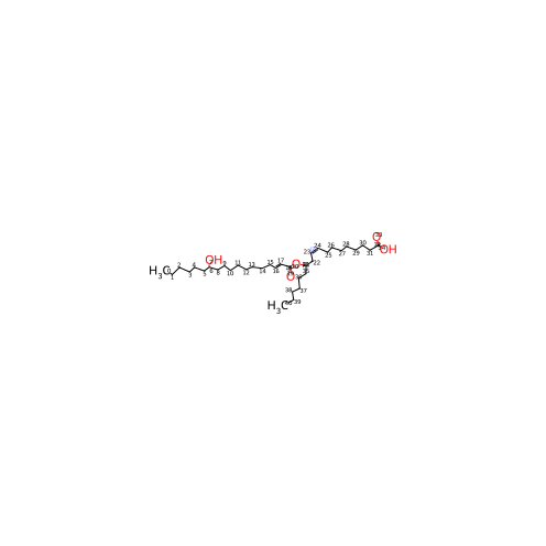 CCCCCCC(O)CCCCCCCCC=CC(=O)O[C@@H](C/C=C\CCCCCCCC(=O)O)CCCCCC